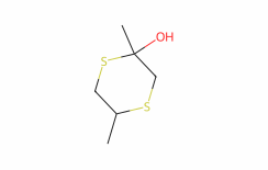 CC1CSC(C)(O)CS1